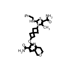 CC1=C(C(N)=O)SC(NCC(C)C)N1C1CC2(CC(Oc3nc4c(cc3C(N)=O)COCC4)C2)C1